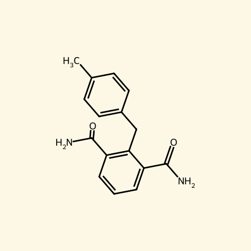 Cc1ccc(Cc2c(C(N)=O)cccc2C(N)=O)cc1